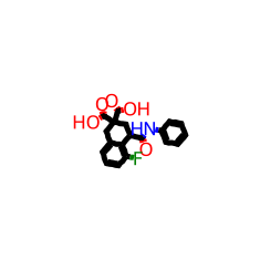 O=C(Nc1ccccc1)C1CC(C(=O)O)(C(=O)O)Cc2cccc(F)c21